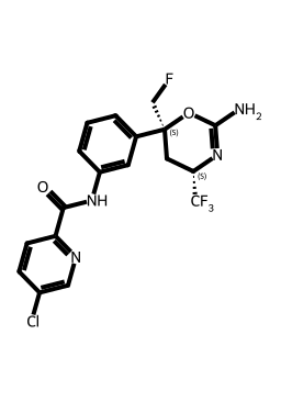 NC1=N[C@H](C(F)(F)F)C[C@@](CF)(c2cccc(NC(=O)c3ccc(Cl)cn3)c2)O1